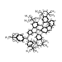 Cc1cc2c(cc1N1c3cc(C(C)(C)C)cc4c3B(c3ccc5sc6ccccc6c5c31)N(c1ccc3c(c1)C(C)(C)CCC3(C)C)c1cc(N(c3ccc(C(C)(C)C)cc3)c3ccc(C(C)(C)C)cc3)ccc1-4)C(C)(C)CCC2(C)C